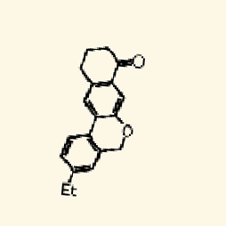 CCc1ccc2c(c1)COc1cc3c(cc1-2)CCCC3=O